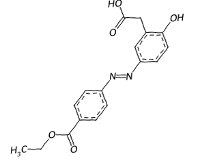 CCOC(=O)c1ccc(N=Nc2ccc(O)c(CC(=O)O)c2)cc1